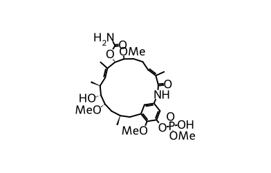 COc1c2cc(cc1OP(=O)(O)OC)NC(=O)/C(C)=C/CC[C@H](OC)[C@@H](OC(N)=O)/C(C)=C/[C@H](C)[C@@H](O)[C@@H](OC)C[C@H](C)C2